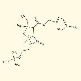 CSC1(C[N+](=O)[O-])S[C@@H]2[C@@H](CCO[Si](C)(C)C(C)(C)C)C(=O)N2C1C(=O)OCc1ccc([N+](=O)[O-])cc1